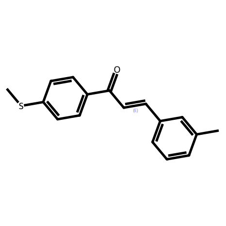 CSc1ccc(C(=O)/C=C/c2cccc(C)c2)cc1